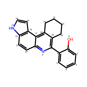 Oc1ccccc1-c1nc2ccc3[nH]ccc3c2c2c1CCCC2